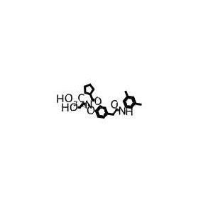 Cc1cc(C)cc(NC(=O)Cc2ccc(ON(C(=O)C3CCCC3)[C@@H](CO)C(=O)O)cc2)c1